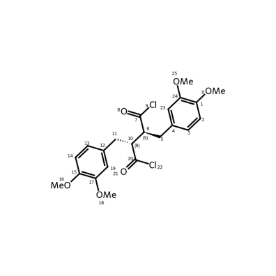 COc1ccc(C[C@H](C(=O)Cl)[C@@H](Cc2ccc(OC)c(OC)c2)C(=O)Cl)cc1OC